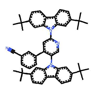 CC(C)(C)c1ccc2c3ccc(C(C)(C)C)cc3n(-c3cc(-c4cccc(C#N)c4)c(-n4c5cc(C(C)(C)C)ccc5c5ccc(C(C)(C)C)cc54)cn3)c2c1